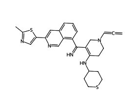 C=C=CN1CCC(NC2CCSCC2)=C(C(=N)c2cccc3cc(-c4cnc(C)s4)ncc23)C1